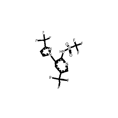 O=S(=O)(Nc1ncc(C(F)(F)F)cc1-n1ccc(C(F)(F)F)n1)C(F)(F)F